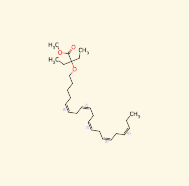 CC/C=C\C/C=C\C/C=C\C/C=C\C/C=C\CCCCOC(CC)(CC)C(=O)OC